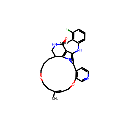 COc1c(F)cccc1Nc1c2[nH]c3c1C(=O)NCC3CCCOCC/C(C)=C\COc1cnccc1-2